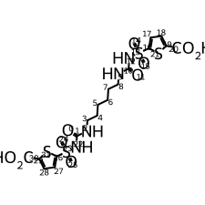 O=C(NCCCCCCNC(=O)NS(=O)(=O)c1ccc(C(=O)O)s1)NS(=O)(=O)c1ccc(C(=O)O)s1